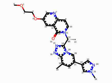 COCCOc1cnc2ccn([C@H](C)c3nnc4c(C)cc(-c5cnn(C)c5)cn34)c(=O)c2c1